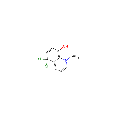 OC1=C2C(=CC=C[N]2[GaH2])C(Cl)(Cl)C=C1